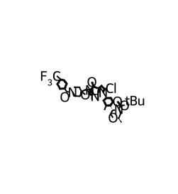 Cc1cc(-n2c(Cl)cc3c(=O)n(CC4(O)CCN(C(=O)c5ccc(C(F)(F)F)cc5)CC4)cnc32)ccc1[C@H]1CO[C@H](C)CN1C(=O)OC(C)(C)C